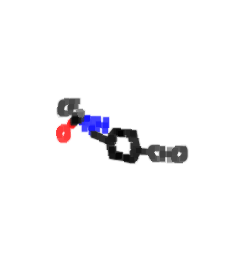 O=Cc1ccc(CNC(=O)C(F)(F)F)cc1